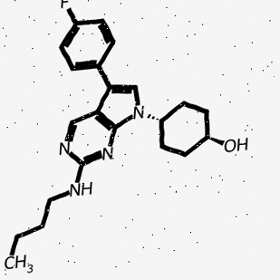 CCCCNc1ncc2c(-c3ccc(F)cc3)cn([C@H]3CC[C@H](O)CC3)c2n1